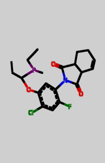 CCC(Oc1cc(N2C(=O)C3C=CCCC3C2=O)c(F)cc1Cl)P(C)CC